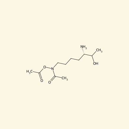 CC(=O)ON(CCCC[C@H](N)C(C)O)C(C)=O